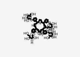 OCC1O[C@@H](Oc2cccc(-c3c4nc(c(-c5cccc(O[C@@H]6OC(CO)[C@@H](O)C(O)[C@@H]6O)c5)c5ccc([nH]5)c(-c5cccc(O[C@@H]6OC(CO)[C@@H](O)C(O)[C@@H]6O)c5)c5nc(c(-c6cccc(OC7O[C@H](CO)[C@@H](O)C(O)[C@H]7O)c6)c6ccc3[nH]6)C(O)(C(F)(F)F)C5(O)C(F)(F)F)C=C4)c2)[C@@H](O)C(O)[C@@H]1O